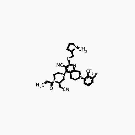 C=CC(=O)N1CCN(c2c(C#N)c(OCC3CCCN3C)nc3c2CCN(c2cccc(F)c2C(F)(F)F)C3)CC1CC#N